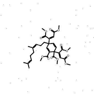 COC(=O)C=C(C(=O)OC)C1(CCC=C(C)CCC=C(C)C)C=CC(C(=O)OC)(C(=CC(=O)OC)C(=O)OC)C(C(=O)OC)=C1